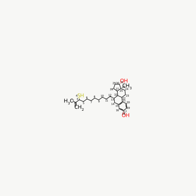 C=C(C)C(S)CCCCCCCC[C@@H]1Cc2cc(O)ccc2C2CC[C@@]3(C)C(CC[C@@H]3O)C21